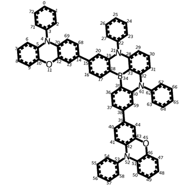 c1ccc(N2c3ccccc3Oc3cc(-c4ccc5c(c4)N(c4ccccc4)c4cccc6c4B5c4ccc(-c5ccc7c(c5)Oc5ccccc5N7c5ccccc5)cc4N6c4ccccc4)ccc32)cc1